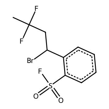 CC(F)(F)CC(Br)c1ccccc1S(=O)(=O)F